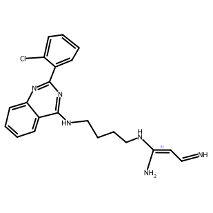 N=C/C=C(\N)NCCCCNc1nc(-c2ccccc2Cl)nc2ccccc12